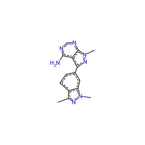 Cc1nn(C)c2cc(-c3nn(C)c4ncnc(N)c34)ccc12